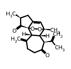 C=C(C)[C@H]1C(=O)CCC(=C)[C@H]2[C@@H]1[C@@]1(C)C=C3C[C@H](C)C(=O)[C@]32OO1